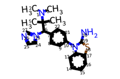 CN(C)C(C)(C)C(c1ccc(N2c3ccccc3SC2N)cc1)n1ccnc1